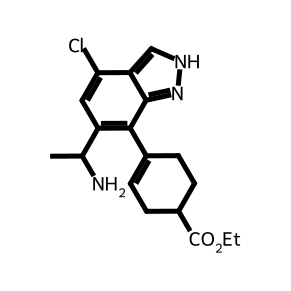 CCOC(=O)C1CC=C(c2c(C(C)N)cc(Cl)c3c[nH]nc23)CC1